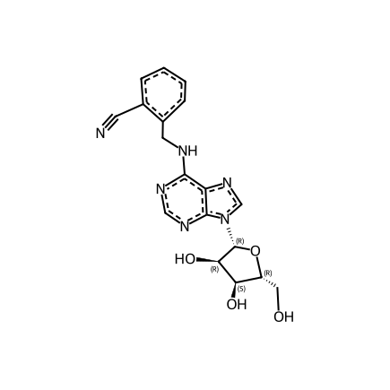 N#Cc1ccccc1CNc1ncnc2c1ncn2[C@@H]1O[C@H](CO)[C@@H](O)[C@H]1O